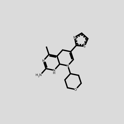 CC1=C2CC(c3nccs3)=CN(C3CCOCC3)C2NC(N)=N1